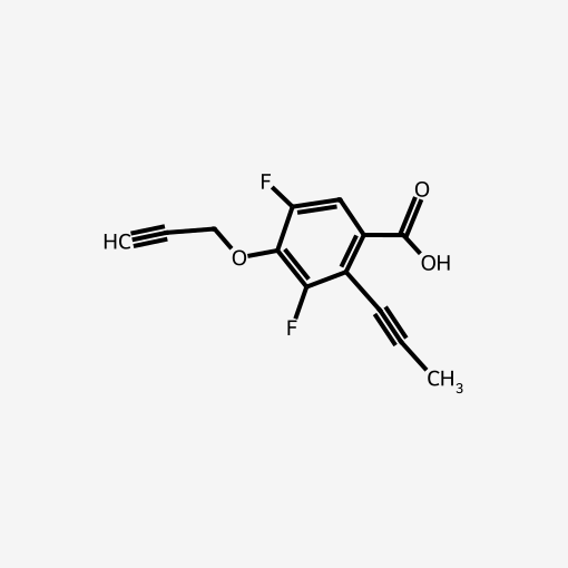 C#CCOc1c(F)cc(C(=O)O)c(C#CC)c1F